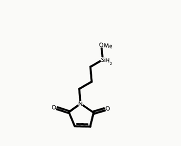 CO[SiH2]CCCN1C(=O)C=CC1=O